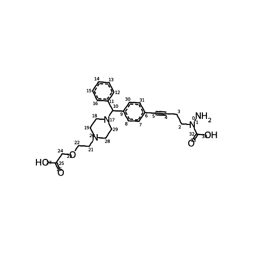 NN(CCC#Cc1ccc(C(c2ccccc2)N2CCN(CCOCC(=O)O)CC2)cc1)C(=O)O